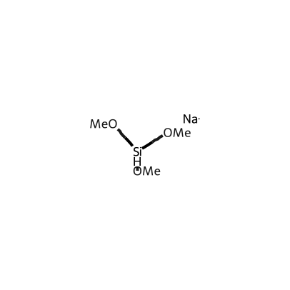 CO[SiH](OC)OC.[Na]